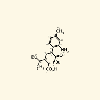 CCCCC(=O)N(CC(CC(=O)O)C(C)C(C)CC)c1ccc(C)cc1N